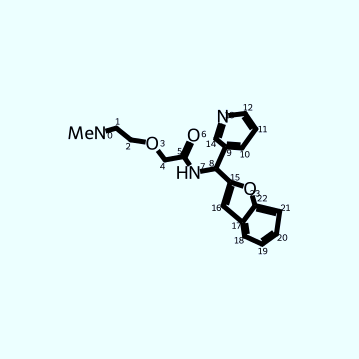 CNCCOCC(=O)NC(c1cccnc1)c1cc2ccccc2o1